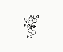 CC1(C)CC(O)(C(F)(F)F)C(Nc2cccc3c(O)cccc23)c2ccc(Cl)c(O)c21